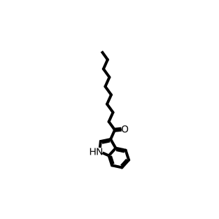 CCCCCCCCCC(=O)c1c[nH]c2ccccc12